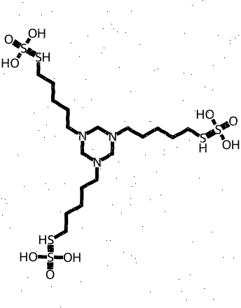 O=S(O)(O)=[SH]CCCCCN1CN(CCCCC[SH]=S(=O)(O)O)CN(CCCCC[SH]=S(=O)(O)O)C1